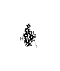 COc1cc(Nc2nc(Nc3cccc(F)c3)c3c(C)csc3n2)ccc1N1CCC(N2CCC2)CC1